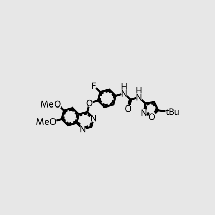 COc1cc2ncnc(Oc3ccc(NC(=O)Nc4cc(C(C)(C)C)on4)cc3F)c2cc1OC